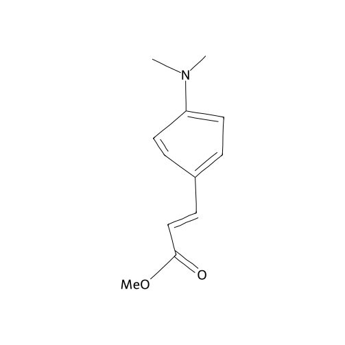 COC(=O)C=Cc1ccc(N(C)C)cc1